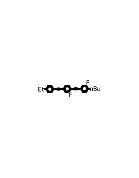 CCCCc1ccc(C#Cc2ccc(C#Cc3ccc(CC)cc3)cc2F)cc1F